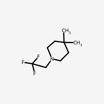 CC1(C)CCN(CC(F)(F)F)CC1